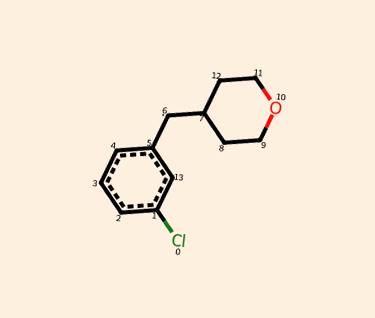 Clc1cccc([CH]C2CCOCC2)c1